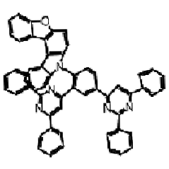 c1ccc(-c2cc(-c3ccc(-n4c5ccccc5c5c6c(ccc54)oc4ccccc46)c(-c4cc(-c5ccccc5)nc(-c5ccccc5)n4)c3)nc(-c3ccccc3)n2)cc1